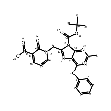 Cc1nc(Oc2ccccc2)c2nc(Cn3cccc([N+](=O)[O-])c3=O)n(C(=O)OC(C)(C)C)c2n1